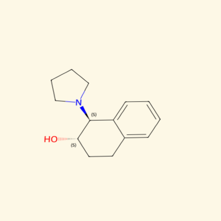 O[C@H]1CCc2ccccc2[C@@H]1N1CCCC1